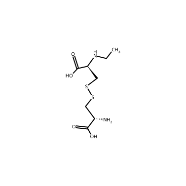 CCN[C@@H](CSSC[C@H](N)C(=O)O)C(=O)O